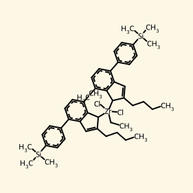 CCCCC1=Cc2c(-c3ccc([Si](C)(C)C)cc3)ccc(C)c2[CH]1[Zr]([Cl])([Cl])([CH2]C)[CH]1C(CCCC)=Cc2c(-c3ccc([Si](C)(C)C)cc3)ccc(C)c21